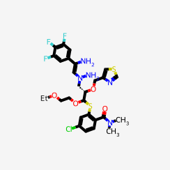 CCOCCOC(Sc1cc(Cl)ccc1C(=O)N(C)C)[C@H](CN(N)/C=C(\N)c1cc(F)c(F)c(F)c1)OCc1cscn1